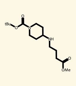 COC(=O)CCCNC1CCN(C(=O)OC(C)(C)C)CC1